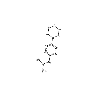 CC(O)Oc1ccc(C2CCCCC2)cc1